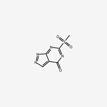 CS(=O)(=O)C1=NC(=O)C2=CN=NC2=N1